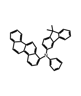 CC1(C)c2ccccc2-c2cc(N(c3ccccc3)c3cccc4c3ccc3c5ccccc5ccc43)ccc21